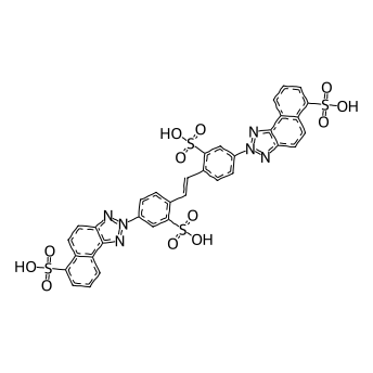 O=S(=O)(O)c1cc(-n2nc3ccc4c(S(=O)(=O)O)cccc4c3n2)ccc1C=Cc1ccc(-n2nc3ccc4c(S(=O)(=O)O)cccc4c3n2)cc1S(=O)(=O)O